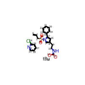 C=CCS(=O)(=O)n1cc(CCNC(=O)OC(C)(C)C)cc1-c1ccccc1.Clc1ccccn1